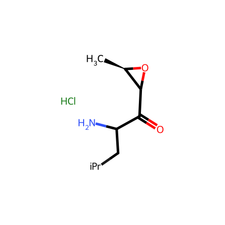 CC(C)CC(N)C(=O)C1O[C@@H]1C.Cl